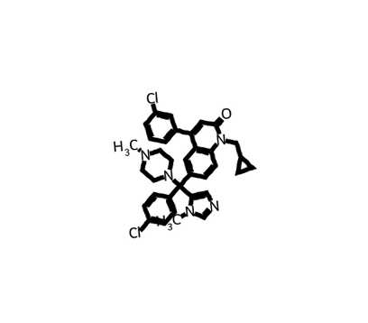 CN1CCN(C(c2ccc(Cl)cc2)(c2ccc3c(c2)c(-c2cccc(Cl)c2)cc(=O)n3CC2CC2)c2cncn2C)CC1